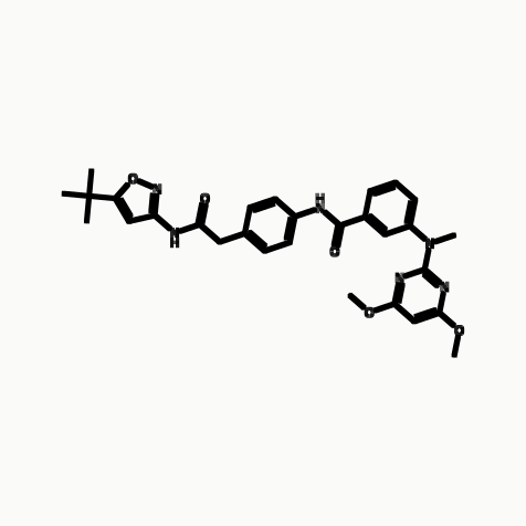 COc1cc(OC)nc(N(C)c2cccc(C(=O)Nc3ccc(CC(=O)Nc4cc(C(C)(C)C)on4)cc3)c2)n1